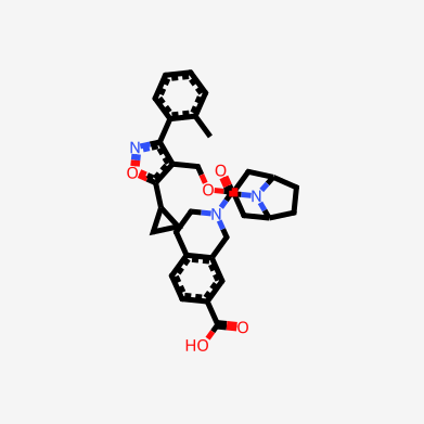 Cc1ccccc1-c1noc(C2CC2)c1COC1CC2CCC(C1)N2C(=O)N1CCc2ccc(C(=O)O)cc2C1